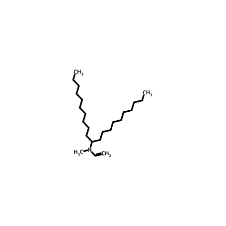 C=CN(C)C(CCCCCCCCCC)CCCCCCCCCC